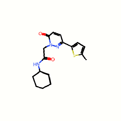 Cc1ccc(-c2ccc(=O)n(CC(=O)NC3CCCCC3)n2)s1